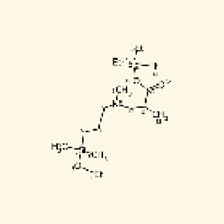 CCO[Si](C)(C)CCCN(C)CC(C)C(=O)O[Si](CC)(CC)CC